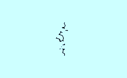 CN(OC(=O)OC1/C=C/CC[C@](C)(C(=O)ON(C)C(=O)CCC=O)CC1)C(=O)CCC=O